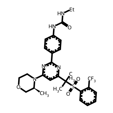 CCNC(=O)Nc1ccc(-c2nc(N3CCOC[C@@H]3C)cc(C(C)(C)S(=O)(=O)c3ccccc3C(F)(F)F)n2)cc1